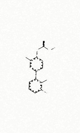 CC(C)(C)OC(=O)Nc1ccc(-c2cccc(F)c2F)cc1[N+](=O)[O-]